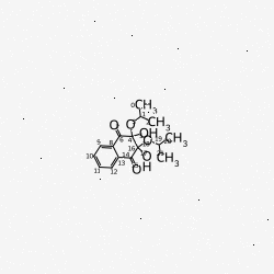 CC(C)OC1(O)C(=O)c2ccccc2C(=O)C1(O)OC(C)C